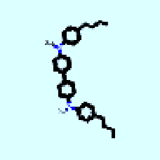 [2H]N(c1ccc(CCCC)cc1)c1ccc(-c2ccc(N([2H])c3ccc(CCCC)cc3)cc2)cc1